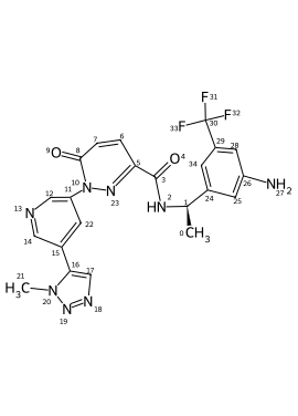 C[C@@H](NC(=O)c1ccc(=O)n(-c2cncc(-c3cnnn3C)c2)n1)c1cc(N)cc(C(F)(F)F)c1